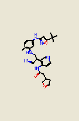 Cc1ccc(Nc2cc(C(C)(C)C)on2)cc1NCC(C=N)c1cnccc1NC(=O)CC1CCOC1